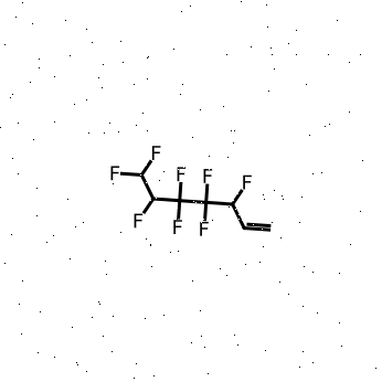 C=CC(F)C(F)(F)C(F)(F)C(F)C(F)F